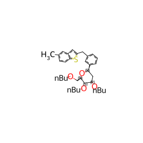 CCCCOC[C@H]1O[C@@H](c2cccc(Cc3cc4cc(C)ccc4s3)c2)C[C@@H](OCCCC)[C@@H]1OCCCC